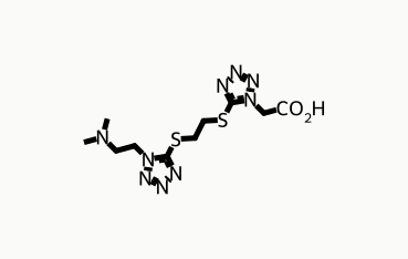 CN(C)CCn1nnnc1SCCSc1nnnn1CC(=O)O